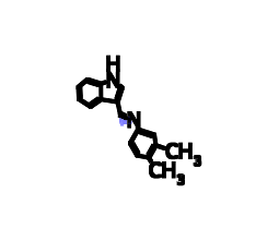 Cc1ccc(/N=C/c2c[nH]c3ccccc23)cc1C